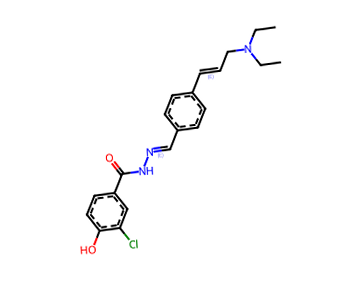 CCN(CC)C/C=C/c1ccc(/C=N/NC(=O)c2ccc(O)c(Cl)c2)cc1